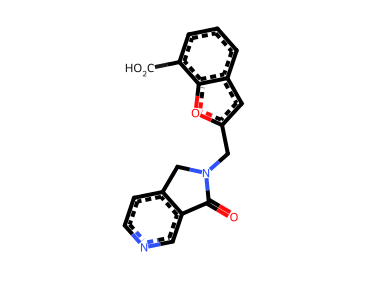 O=C(O)c1cccc2cc(CN3Cc4ccncc4C3=O)oc12